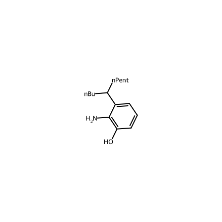 CCCCCC(CCCC)c1cccc(O)c1N